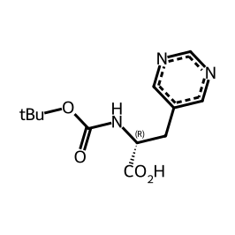 CC(C)(C)OC(=O)N[C@H](Cc1cncnc1)C(=O)O